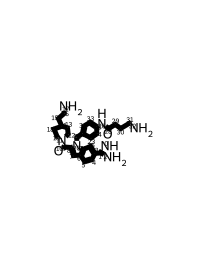 N=C(N)c1ccc2cc(C(=O)N3CCC(CCN)CC3)n(Cc3ccc(NC(=O)CCCN)cc3)c2c1